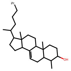 CC(C)CCCC(C)C1CCC2C3=CCC4C(C)C(O)CCC4(C)C3CCC21C